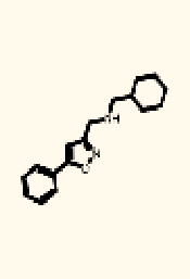 c1ccc(-c2cc(CNCC3CCCCC3)no2)cc1